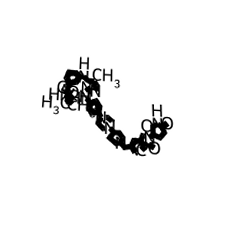 Cc1cnc(Nc2ccc(N3CCN(C4CCN(Cc5ccc6c(c5)CN(C5CCC(=O)NC5=O)C6=O)CC4)CC3)cc2)nc1Nc1cccc(S(=O)(=O)NC(C)(C)C)c1